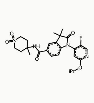 CC(C)Oc1cc(N2C(=O)C(C)(C)c3cc(C(=O)NC4(C)CCS(=O)(=O)CC4)ccc32)c(F)cn1